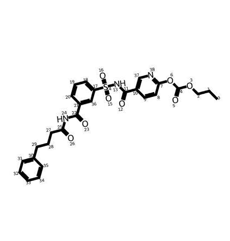 CCCOC(=O)Oc1ccc(C(=O)NS(=O)(=O)c2cccc(C(=O)NC(=O)CCCc3ccccc3)c2)cn1